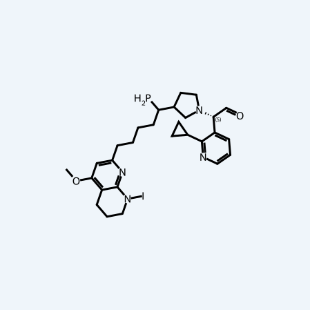 COc1cc(CCCCC(P)C2CCN([C@H](C=O)c3cccnc3C3CC3)C2)nc2c1CCCN2I